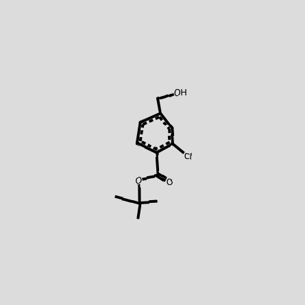 CC(C)(C)OC(=O)c1ccc(CO)cc1Cl